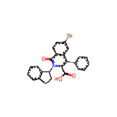 O=C(O)c1c(-c2ccccc2)c2cc(Br)ccc2c(=O)n1C1CCc2ccccc21